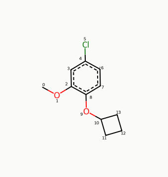 COc1cc(Cl)[c]cc1OC1CCC1